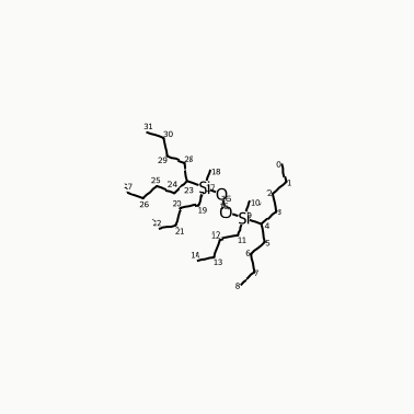 CCCCC(CCCC)[Si](C)(CCCC)OO[Si](C)(CCCC)C(CCCC)CCCC